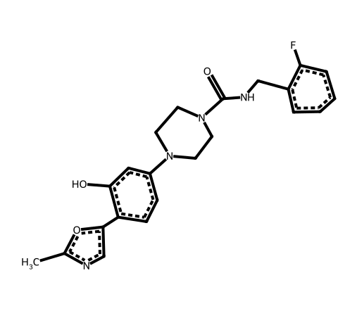 Cc1ncc(-c2ccc(N3CCN(C(=O)NCc4ccccc4F)CC3)cc2O)o1